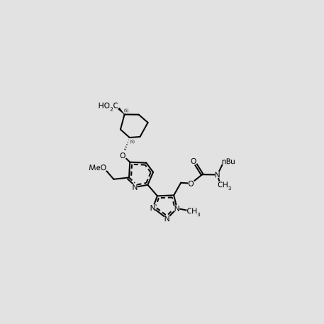 CCCCN(C)C(=O)OCc1c(-c2ccc(O[C@H]3CCC[C@H](C(=O)O)C3)c(COC)n2)nnn1C